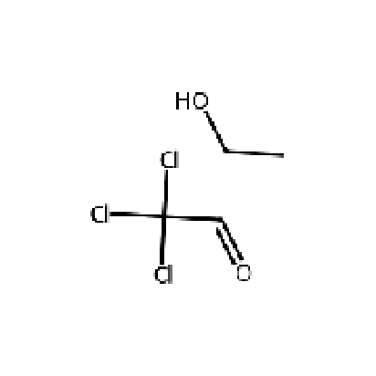 CCO.O=CC(Cl)(Cl)Cl